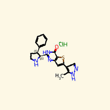 Cc1[nH]ncc1-c1cc2nc([C@H]3NCC[C@H]3c3ccccc3)[nH]c(=O)c2s1.Cl